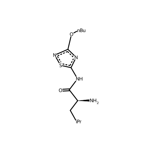 CCCCOc1nsc(NC(=O)[C@@H](N)CC(C)C)n1